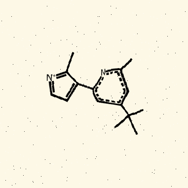 CC1=[N+]=CC=C1c1cc(C(C)(C)C)cc(C)n1